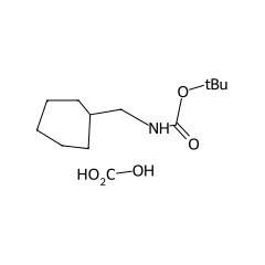 CC(C)(C)OC(=O)NCC1CCCCC1.O=C(O)O